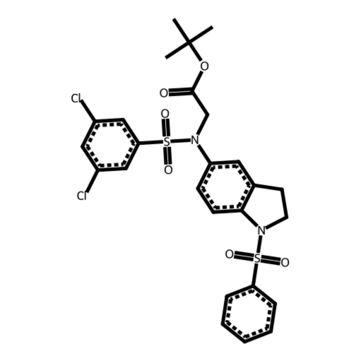 CC(C)(C)OC(=O)CN(c1ccc2c(c1)CCN2S(=O)(=O)c1ccccc1)S(=O)(=O)c1cc(Cl)cc(Cl)c1